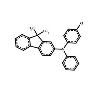 CC1(C)c2ccccc2-c2ccc(N(c3ccccc3)c3ccc(Cl)cc3)cc21